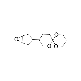 C1COC2(CCC(C3CC4OC4C3)CO2)OC1